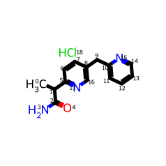 CC(C(N)=O)c1ccc(Cc2ccccn2)cn1.Cl